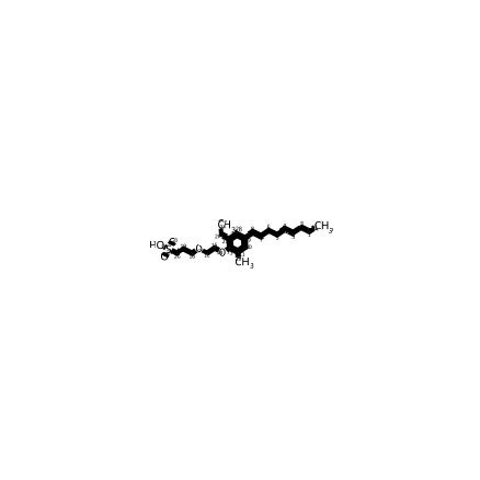 CCCCCCCCCc1cc(C)c(OCCOCCCS(=O)(=O)O)c(CC)c1